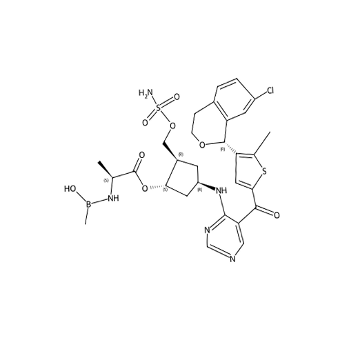 CB(O)N[C@@H](C)C(=O)O[C@H]1C[C@H](Nc2ncncc2C(=O)c2cc([C@@H]3OCCc4ccc(Cl)cc43)c(C)s2)C[C@@H]1COS(N)(=O)=O